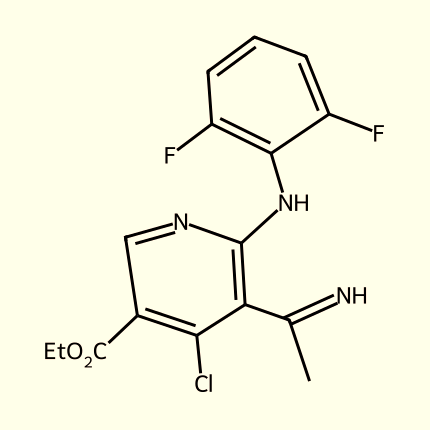 CCOC(=O)c1cnc(Nc2c(F)cccc2F)c(C(C)=N)c1Cl